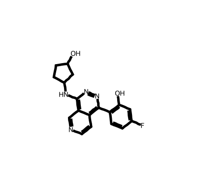 Oc1cc(F)ccc1-c1nnc(NC2CCC(O)C2)c2cnccc12